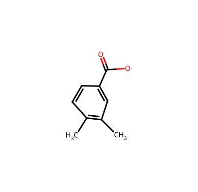 Cc1ccc(C([O])=O)cc1C